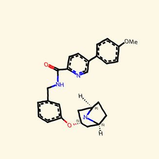 COc1ccc(-c2ccc(C(=O)NCc3cccc(O[C@@H]4C[C@H]5CC[C@@H](C4)N5C)c3)nc2)cc1